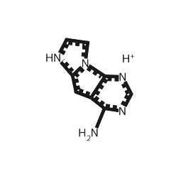 Nc1ncnc2c1cc1[nH]ccn12.[H+]